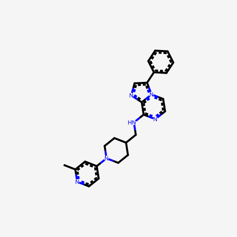 Cc1cc(N2CCC(CNc3nccn4c(-c5ccccc5)cnc34)CC2)ccn1